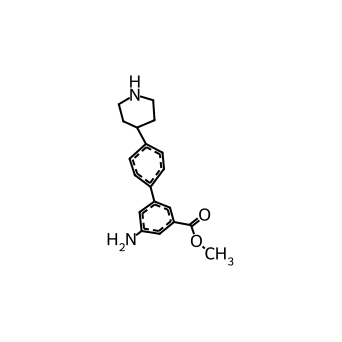 COC(=O)c1cc(N)cc(-c2ccc(C3CCNCC3)cc2)c1